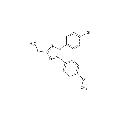 COc1ccc(-c2nc(OC)nn2-c2ccc(S)cc2)cc1